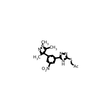 CC(=O)CSc1nnc(-c2cc(-c3c(C)nn(C)c3C)cc([N+](=O)[O-])c2)[nH]1